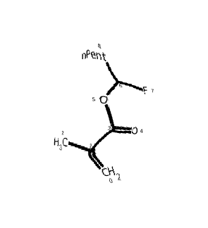 C=C(C)C(=O)OC(F)CCCCC